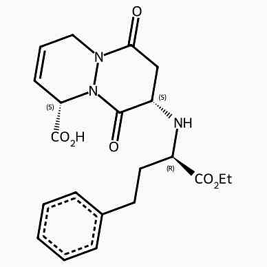 CCOC(=O)[C@@H](CCc1ccccc1)N[C@H]1CC(=O)N2CC=C[C@@H](C(=O)O)N2C1=O